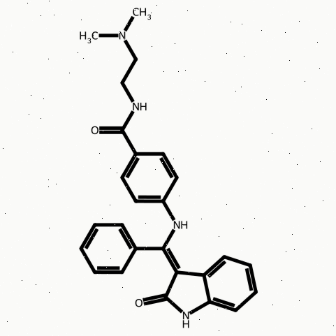 CN(C)CCNC(=O)c1ccc(NC(=C2C(=O)Nc3ccccc32)c2ccccc2)cc1